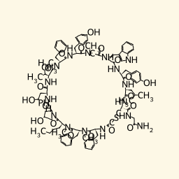 CCCC[C@H]1C(=O)N2C[C@@H](O)C[C@@H]2C(=O)N[C@@H](CC(O)=P)C(=O)N[C@@H](C(C)C)C(=O)N(C)[C@@H](Cc2ccccc2)C(=O)N[C@@H](Cc2ccc(O)cc2)C(=O)N(C)CC(=O)N[C@@H](Cc2c[nH]c3ccccc23)C(=O)N[C@@H](Cc2ccc(O)cc2)C(=O)N[C@@H](CC(C)C)C(=O)N[C@H](C(=O)NCC(N)=O)CSCC(=O)N[C@@H](Cc2ccccc2)C(=O)N(C)[C@@H](Cc2ccccc2)C(=O)N1C